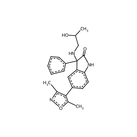 Cc1noc(C)c1-c1ccc2c(c1)C(NCC(C)O)(c1ccccc1)C(=O)N2